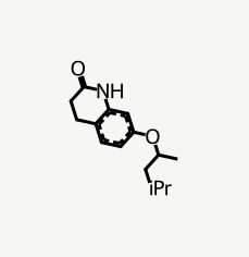 CC(C)CC(C)Oc1ccc2c(c1)NC(=O)CC2